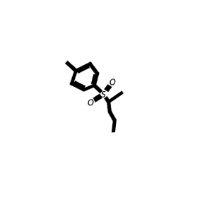 CCCC(C)S(=O)(=O)c1ccc(C)cc1